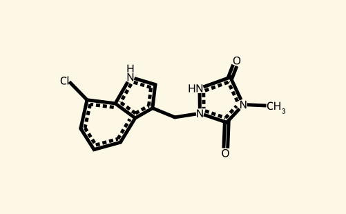 Cn1c(=O)[nH]n(Cc2c[nH]c3c(Cl)cccc23)c1=O